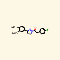 COc1ccc(C2=NN(C(=O)Cc3ccc(F)cc3)CC2)cc1OC